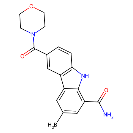 Bc1cc(C(N)=O)c2[nH]c3ccc(C(=O)N4CCOCC4)cc3c2c1